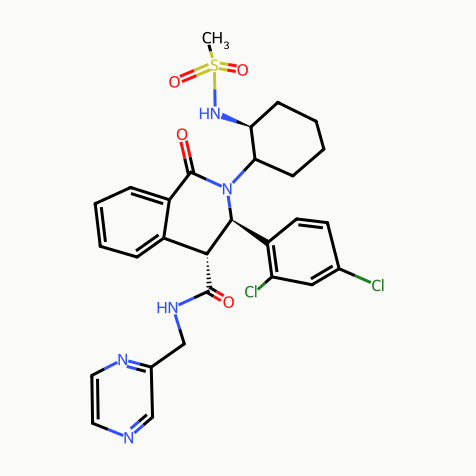 CS(=O)(=O)N[C@H]1CCCCC1N1C(=O)c2ccccc2[C@@H](C(=O)NCc2cnccn2)[C@@H]1c1ccc(Cl)cc1Cl